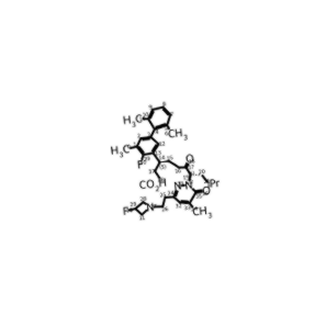 Cc1cc(-c2c(C)cccc2C)cc([C@@H](CCC(=O)[C@H](CC(C)C)n2nc(CCN3CC(F)C3)cc(C)c2=O)CC(=O)O)c1F